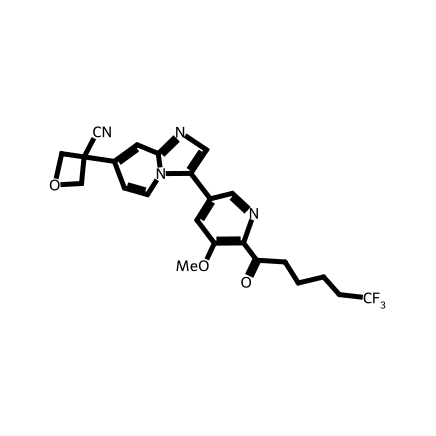 COc1cc(-c2cnc3cc(C4(C#N)COC4)ccn23)cnc1C(=O)CCCCC(F)(F)F